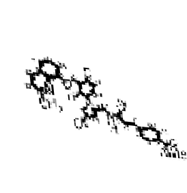 CNC(=O)c1ccc(C=CC(=O)NCc2cc(Cl)cn2-c2ccc(Cl)c(COc3cccc4ccc(C)nc34)c2Cl)cc1